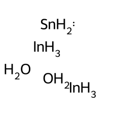 O.O.[InH3].[InH3].[SnH2]